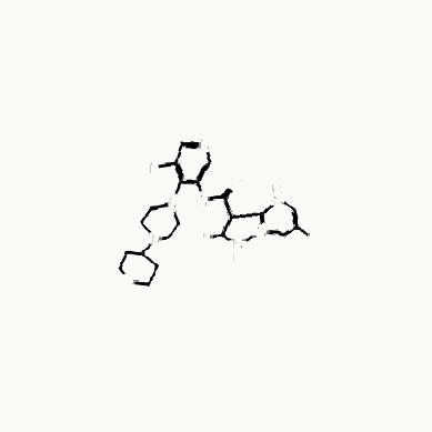 NC1NN2CC(F)=CNC2C1C(=O)Nc1cncc(F)c1N1CCN(C2CCOCC2)CC1